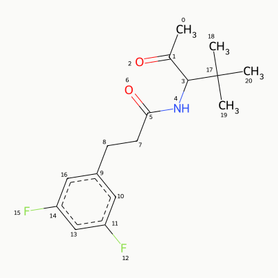 CC(=O)C(NC(=O)CCc1cc(F)cc(F)c1)C(C)(C)C